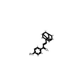 CC(C)c1ccc(C(=O)C=CC23CC4CC(CC(C4)C2)C3)cc1